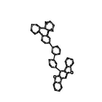 c1cc(-c2cccc(-c3c4oc5ccccc5c4cc4oc5ccccc5c34)c2)cc(-c2ccc3c4ccccc4c4nccnc4c3c2)c1